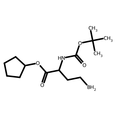 BCCC(NC(=O)OC(C)(C)C)C(=O)OC1CCCC1